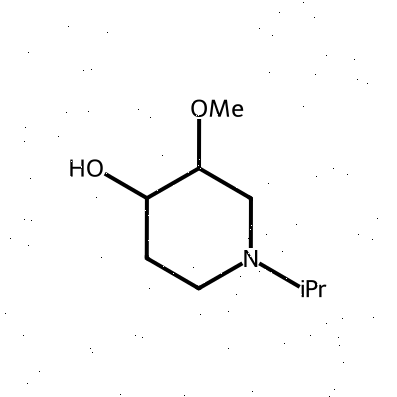 COC1CN(C(C)C)CCC1O